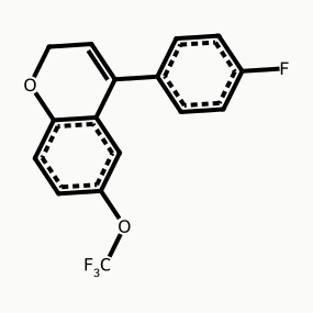 Fc1ccc(C2=CCOc3ccc(OC(F)(F)F)cc32)cc1